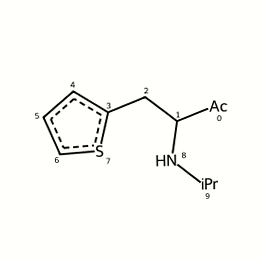 CC(=O)C(Cc1cccs1)NC(C)C